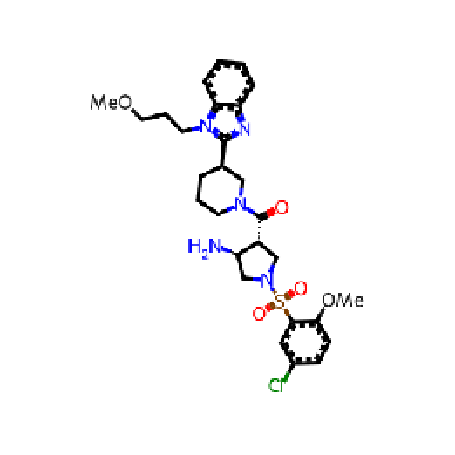 COCCCn1c(C2CCCN(C(=O)[C@@H]3CN(S(=O)(=O)c4cc(Cl)ccc4OC)C[C@H]3N)C2)nc2ccccc21